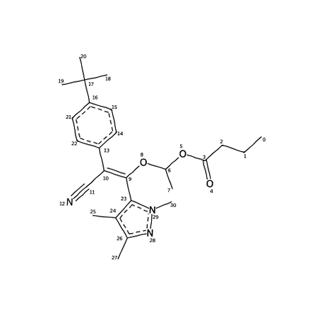 CCCC(=O)OC(C)O/C(=C(/C#N)c1ccc(C(C)(C)C)cc1)c1c(C)c(C)nn1C